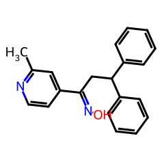 Cc1cc(/C(CC(c2ccccc2)c2ccccc2)=N/O)ccn1